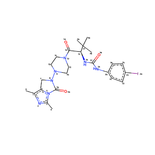 Cc1nc(C)n2c1CN(N1CCN(C(=O)[C@H](NC(=O)Nc3ccc(I)cc3)C(C)(C)C)CC1)C2=O